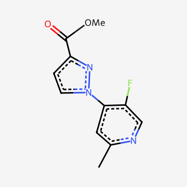 COC(=O)c1ccn(-c2cc(C)ncc2F)n1